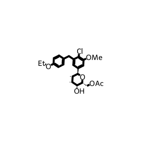 CCOc1ccc(Cc2cc([C@@H]3[CH][CH][C@@H](O)[C@@H](COC(C)=O)O3)cc(OC)c2Cl)cc1